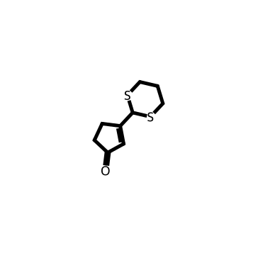 O=C1C=C(C2SCCCS2)CC1